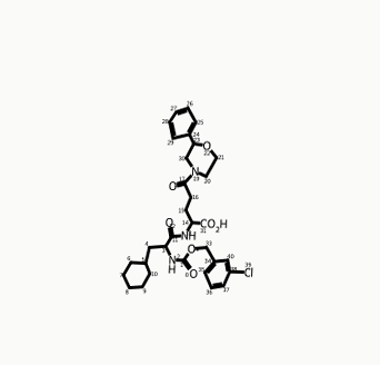 O=C(NC(CC1CCCCC1)C(=O)NC(CCC(=O)N1CCOC(c2ccccc2)C1)C(=O)O)OCc1cccc(Cl)c1